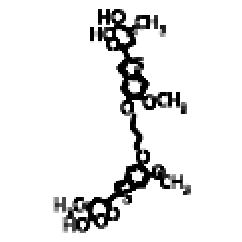 COc1cc2sc(C(=O)C[C@H](C)C(=O)O)cc2cc1OCCCCOc1cc2cc(C(=O)C[C@H](C)C(O)O)sc2cc1OC